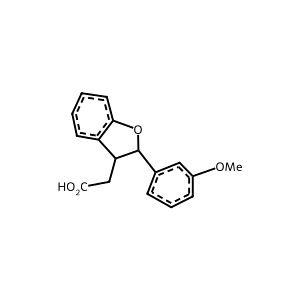 COc1cccc(C2Oc3ccccc3C2CC(=O)O)c1